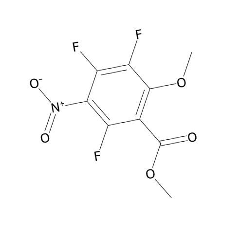 COC(=O)c1c(F)c([N+](=O)[O-])c(F)c(F)c1OC